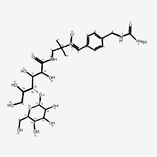 CCCCCCCC(=O)NCc1ccc(/C=[N+](\[O-])C(C)(C)CNC(=O)C(O)C(O)[C@H](O[C@@H]2OC(CO)[C@H](O)C(O)C2O)C(O)CO)cc1